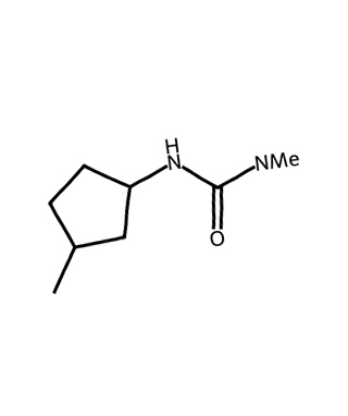 CNC(=O)NC1CCC(C)C1